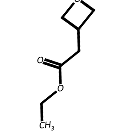 CCOC(=O)C[C]1COC1